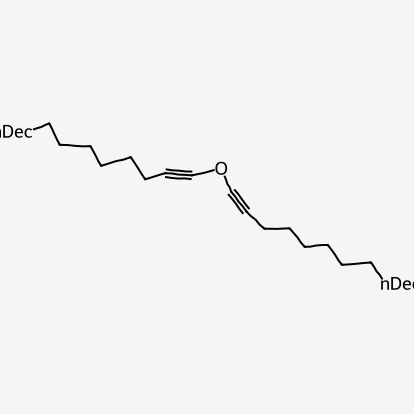 CCCCCCCCCCCCCCCCC#COC#CCCCCCCCCCCCCCCCC